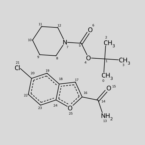 CC(C)(C)OC(=O)N1CCCCC1.NC(=O)c1cc2cc(Cl)ccc2o1